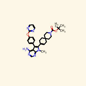 Cn1c(C2=CCC3(CC2)CCN(C(=O)OC(C)(C)C)CC3)c(-c2ccc(Oc3ncccn3)cc2)c2c(N)ncnc21